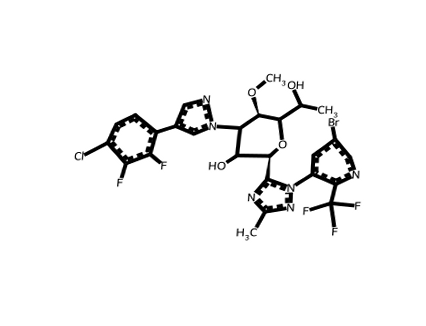 CO[C@H]1C(C(C)O)O[C@@H](c2nc(C)nn2-c2cc(Br)cnc2C(F)(F)F)C(O)C1n1cc(-c2ccc(Cl)c(F)c2F)cn1